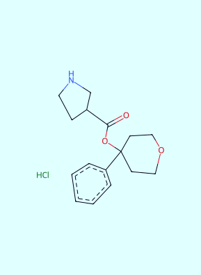 Cl.O=C(OC1(c2ccccc2)CCOCC1)C1CCNC1